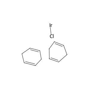 C1=CCC=CC1.C1=CCC=CC1.[Cl][Ir]